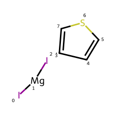 [I][Mg][I].[c]1ccsc1